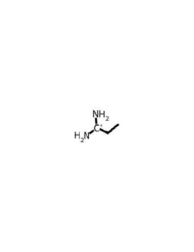 CC[C+](N)N